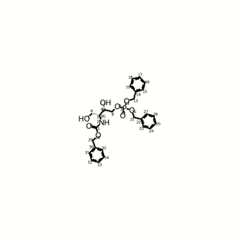 O=C(N[C@H](CO)[C@H](O)COP(=O)(OCc1ccccc1)OCc1ccccc1)OCc1ccccc1